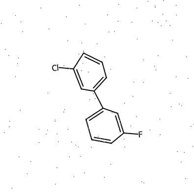 Fc1cccc(-c2cc[c]c(Cl)c2)c1